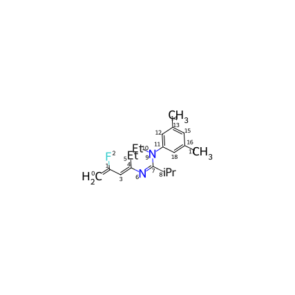 C=C(F)/C=C(CC)/N=C(/C(C)C)N(CC)c1cc(C)cc(C)c1